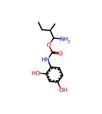 CCC(C)C(N)OC(=O)Nc1ccc(O)cc1O